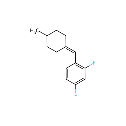 CC1CCC(=Cc2ccc(F)cc2F)CC1